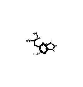 CCCNC(CCC)Cc1ccc2c(c1)OCO2.Cl